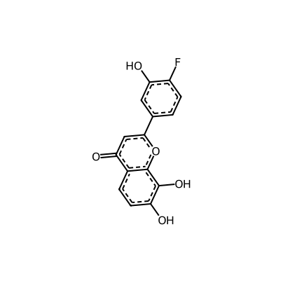 O=c1cc(-c2ccc(F)c(O)c2)oc2c(O)c(O)ccc12